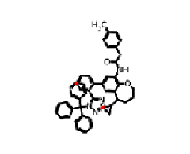 Cc1ccc(CC(=O)Nc2cc(-c3ccccc3-c3nnnn3C(c3ccccc3)(c3ccccc3)c3ccccc3)cc3c2OCCCC3C2CC2)cc1